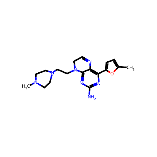 Cc1ccc(-c2nc(N)nc3c2N=CCN3CCN2CCN(C)CC2)o1